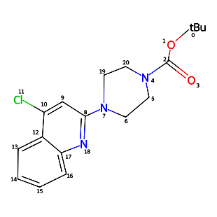 CC(C)(C)OC(=O)N1CCN(c2cc(Cl)c3ccccc3n2)CC1